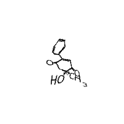 C[C@@]1(O)CC(=O)C(c2ccccc2)=CC1=O